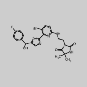 CC1(C)NC(=O)N(CCNc2ncc(Br)c(-c3ncc(C(O)c4ccc(F)cc4)s3)n2)C1=O